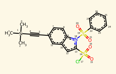 C[Si](C)(C)C#Cc1ccc2c(c1)cc(S(=O)(=O)Cl)n2S(=O)(=O)c1ccccc1